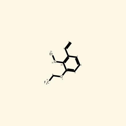 C=[C]c1cccc(OCC(F)(F)F)c1OCC